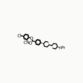 CCC[C@H]1CC[C@H]([C@H]2CC[C@H](c3ccc(C(=O)Oc4ccc(Cl)cc4C#N)cc3)CC2)CC1